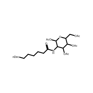 CCCCCCCCCCCCCCCC(=O)NC1C(OC(C)=O)OC(COC(C)=O)C(OC(C)=O)C1OC(C)=O